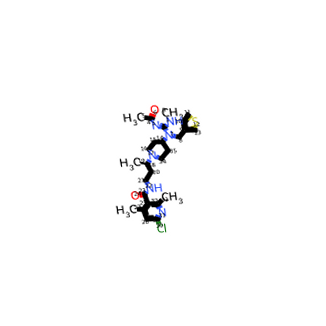 CNC(=NC(C)=O)N(Cc1ccsc1)C1CCN([C@H](C)CCNC(=O)c2c(C)cc(Cl)nc2C)CC1